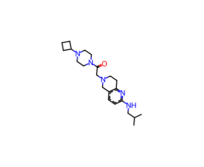 CC(C)CNc1ccc2c(n1)CCN(CC(=O)N1CCN(C3CCC3)CC1)C2